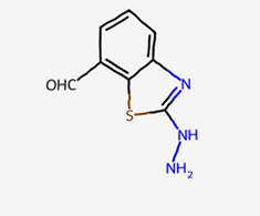 NNc1nc2cccc(C=O)c2s1